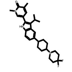 Cc1cc(-c2[nH]c3ccc(C4CCC(N5CCC(F)(F)CC5)CC4)cc3c2C(C)C)cn(C)c1=O